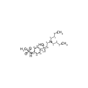 CCCCN(CCCC)CCC(O)(I)c1ccc(NS(C)(=O)=O)cc1